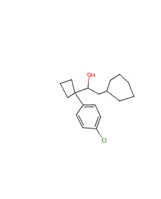 OC(CC1CCCCC1)C1(c2ccc(Cl)cc2)CCC1